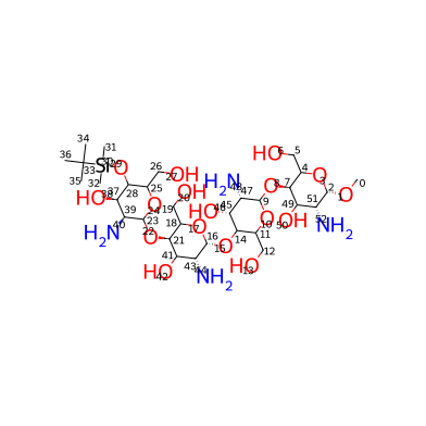 CO[C@H]1OC(CO)[C@H](OC2OC(CO)C(O[C@H]3OC(CO)[C@H](OC4OC(CO)C(O[Si](C)(C)C(C)(C)C)[C@H](O)[C@@H]4N)C(O)[C@H]3N)[C@H](O)[C@@H]2N)C(O)[C@H]1N